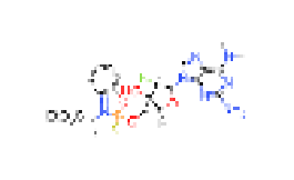 CCOC(=O)[C@@H](C)NP(=S)(Oc1ccccc1)OC1[C@H]2O[C@@H](n3cnc4c(N(C)C)nc(N)nc43)[C@](C)(F)[C@@]12O